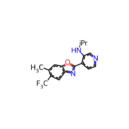 Cc1cc2oc(-c3ccncc3NC(C)C)nc2cc1C(F)(F)F